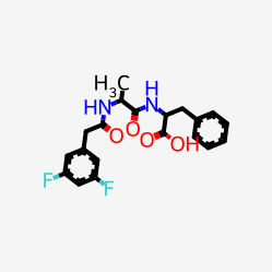 CC(NC(=O)Cc1cc(F)cc(F)c1)C(=O)NC(Cc1ccccc1)C(=O)O